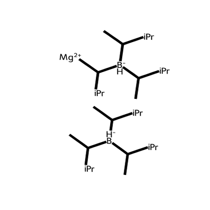 CC(C)C(C)[BH-](C(C)C(C)C)C(C)C(C)C.CC(C)C(C)[BH-](C(C)C(C)C)C(C)C(C)C.[Mg+2]